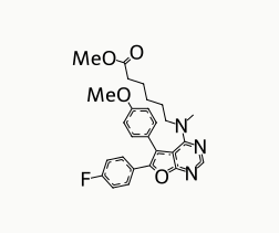 COC(=O)CCCCCN(C)c1ncnc2oc(-c3ccc(F)cc3)c(-c3ccc(OC)cc3)c12